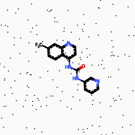 O=C(Nc1cccnc1)Nc1ccnc2cc(C(F)(F)F)ccc12